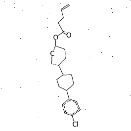 C=CCCC(=O)OC1CCC(C2CCC(c3ccc(Cl)cc3)CC2)CC1